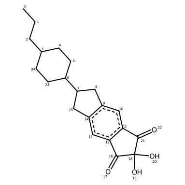 CCCC1CCC(C2Cc3cc4c(cc3C2)C(=O)C(O)(O)C4=O)CC1